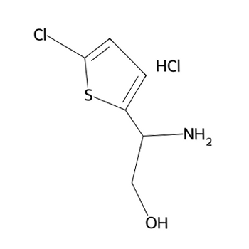 Cl.NC(CO)c1ccc(Cl)s1